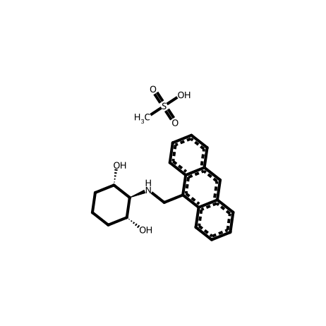 CS(=O)(=O)O.O[C@@H]1CCC[C@H](O)[C@H]1NCc1c2ccccc2cc2ccccc12